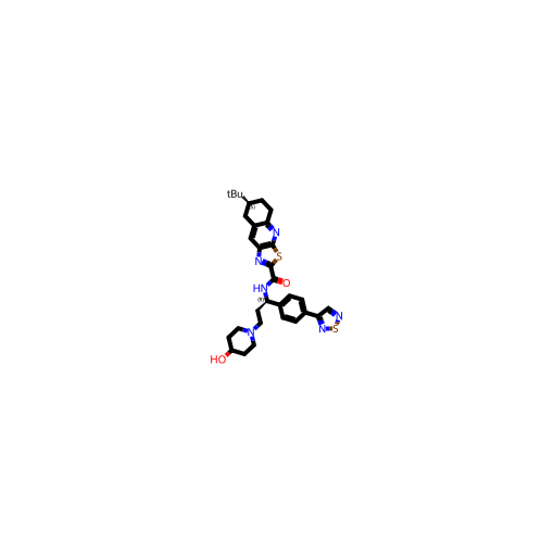 CC(C)(C)[C@H]1CCc2nc3sc(C(=O)N[C@H](CCN4CCC(O)CC4)c4ccc(-c5cnsn5)cc4)nc3cc2C1